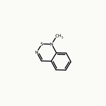 CN1SN=Cc2ccccc21